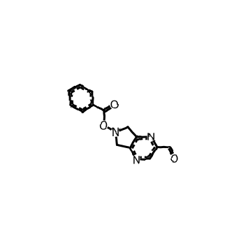 O=Cc1cnc2c(n1)CN(OC(=O)c1ccccc1)C2